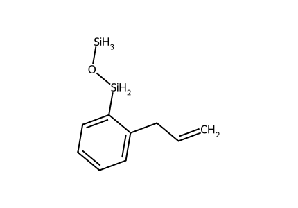 C=CCc1ccccc1[SiH2]O[SiH3]